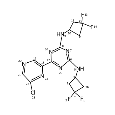 FC1(F)CC(Nc2nc(NC3CC(F)(F)C3)nc(-c3cncc(Cl)n3)n2)C1